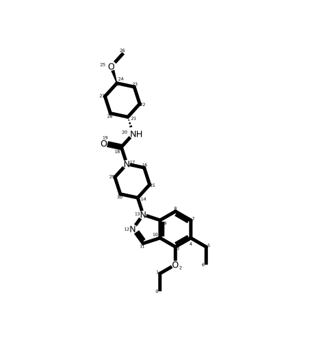 CCOc1c(CC)ccc2c1cnn2C1CCN(C(=O)N[C@H]2CC[C@H](OC)CC2)CC1